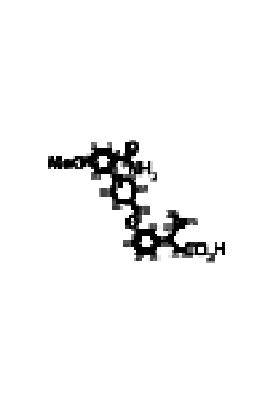 COc1ccc(C(N)=O)c(N2CCC(COc3cccc(C(CC(=O)O)C4CC4)c3)CC2)c1